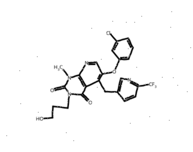 Cn1c(=O)n(CCCO)c(=O)c2c(Cc3ccc(C(F)(F)F)nc3)c(Oc3cccc(Cl)c3)cnc21